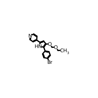 CCOCOc1cc(-c2ccncc2)[nH]c1-c1ccc(Br)cc1